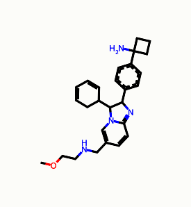 COCCNCC1=CN2C(=NC(c3ccc(C4(N)CCC4)cc3)C2C2C=CC=CC2)C=C1